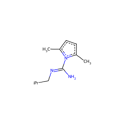 Cc1ccc(C)n1/C(N)=N/CC(C)C